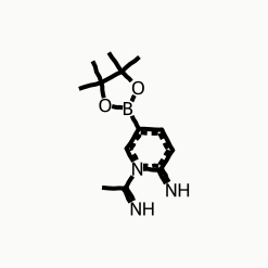 CC(=N)n1cc(B2OC(C)(C)C(C)(C)O2)ccc1=N